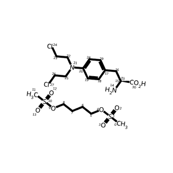 CS(=O)(=O)OCCCCOS(C)(=O)=O.N[C@@H](Cc1ccc(N(CCCl)CCCl)cc1)C(=O)O